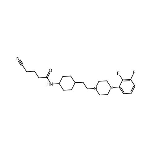 N#CCCCC(=O)NC1CCC(CCN2CCN(c3cccc(F)c3F)CC2)CC1